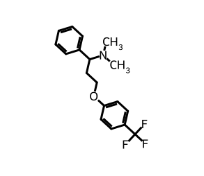 CN(C)C(CCOc1ccc(C(F)(F)F)cc1)c1ccccc1